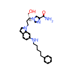 NC(=O)c1cn([C@@H](CO)CCn2ccc3ccc(NCCCCCc4ccccc4)cc32)cn1